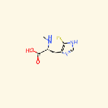 CN[C@@H](Cc1nc[nH]c1S)C(=O)O